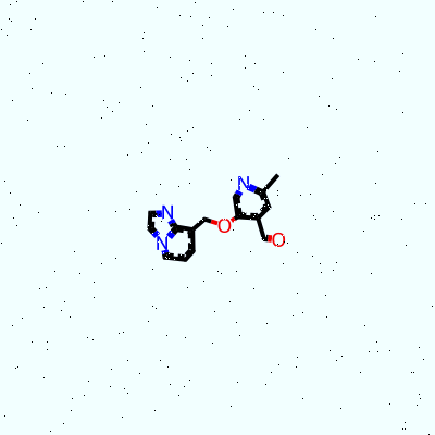 Cc1cc(C=O)c(OCc2cccn3ccnc23)cn1